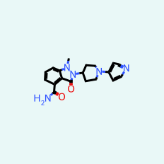 Cn1c2cccc(C(N)=O)c2c(=O)n1C1CCN(c2ccncc2)CC1